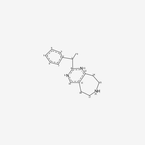 CC(c1ccccc1)c1ncc2c(n1)CCNCC2